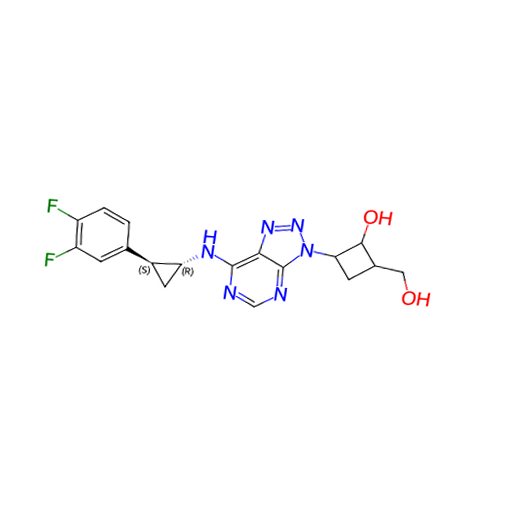 OCC1CC(n2nnc3c(N[C@@H]4C[C@H]4c4ccc(F)c(F)c4)ncnc32)C1O